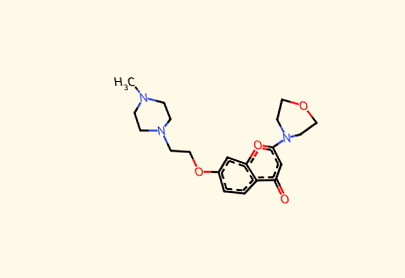 CN1CCN(CCOc2ccc3c(=O)cc(N4CCOCC4)oc3c2)CC1